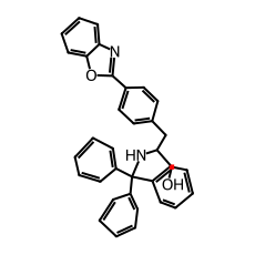 OCC(Cc1ccc(-c2nc3ccccc3o2)cc1)NC(c1ccccc1)(c1ccccc1)c1ccccc1